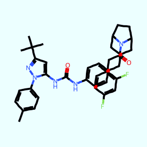 Cc1ccc(-n2nc(C(C)(C)C)cc2NC(=O)Nc2ccc(CC3CC4CCC(C3)N4C(=O)Cc3ccc(F)cc3F)cc2)cc1